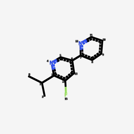 CC(C)c1ncc(-c2ccccn2)cc1F